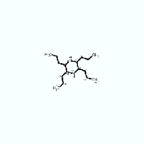 CCCC1NC(CCC)C(CCC)NC1CCC